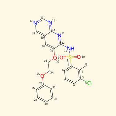 Cc1c(Cl)cccc1S(=O)(=O)Nc1nc2ncncc2cc1OCCOc1ccccc1